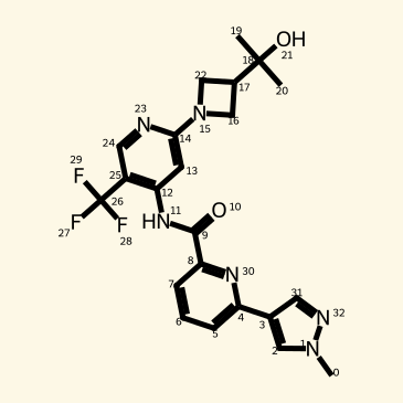 Cn1cc(-c2cccc(C(=O)Nc3cc(N4CC(C(C)(C)O)C4)ncc3C(F)(F)F)n2)cn1